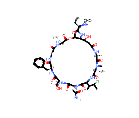 CCC[C@@H]1C(=O)NC(C(C)C(C)Cl)C(=O)N[C@H](CC(N)=O)C(=O)N[C@H]([C@@H](C)O)C(=O)N[C@@H](Cc2ccccc2)C(=O)NCC(=O)N[C@H](CCC)C(=O)OC(C)C(NC(=O)[C@@H](CC(C)C)NC=O)C(O)CC(=O)N[C@H](C)C(=O)N1C